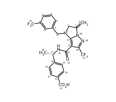 C=C1CN(Cc2cccc(C(F)(F)F)c2)c2c(C(=O)N[C@@H](C)c3ccc(C(=O)O)cc3)c(C(F)(F)F)nn21